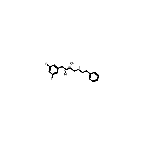 N[C@@H](Cc1cc(F)cc(F)c1)[C@H](O)CNCCc1ccccc1